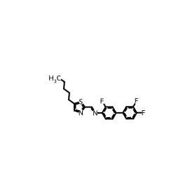 CCCCCc1cnc(/C=N/c2ccc(-c3ccc(F)c(F)c3)cc2F)s1